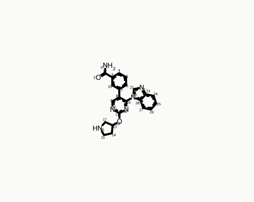 NC(=O)c1cccc(-c2cnc(OC3CCNC3)nc2-n2cnc3ccccc32)c1